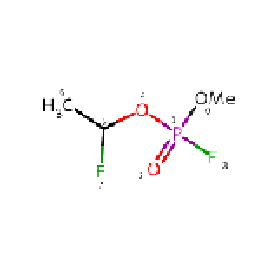 COP(=O)(F)OC(C)F